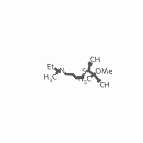 C#CC(S/C=C\CC/N=C(\C)CC)C(C)(C#C)OC